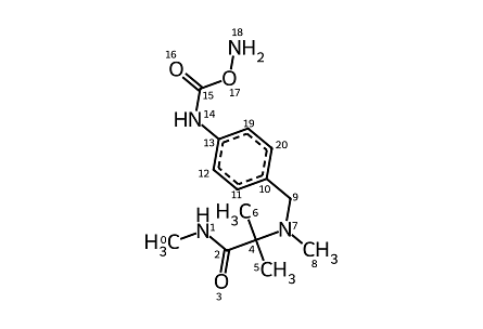 CNC(=O)C(C)(C)N(C)Cc1ccc(NC(=O)ON)cc1